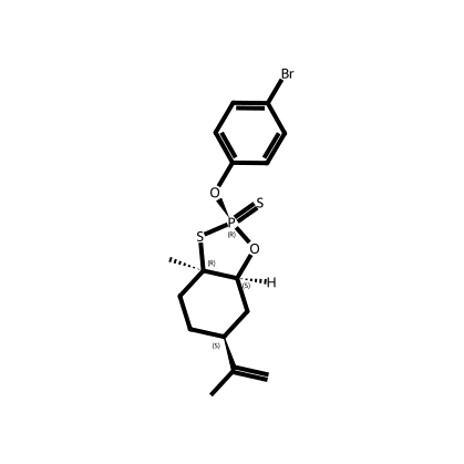 C=C(C)[C@H]1CC[C@@]2(C)S[P@@](=S)(Oc3ccc(Br)cc3)O[C@H]2C1